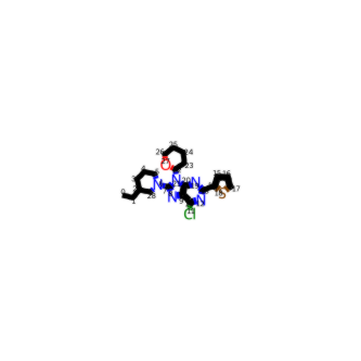 CCC1CCCN(c2nc3c(Cl)nc(-c4cccs4)nc3n2C2CCCCO2)C1